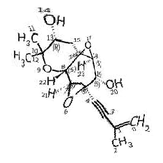 C=C(C)C#C[C@]12O[C@H]1[C@@H]1OC(C)(C)[C@H](O)C[C@@]13O[C@H]3[C@@H]2O